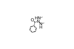 CNN(NC)C(=O)c1ccccc1